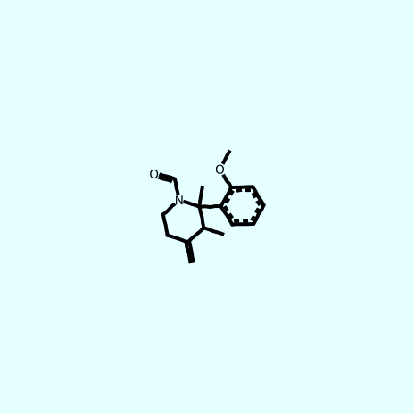 C=C1CCN(C=O)C(C)(c2ccccc2OC)C1C